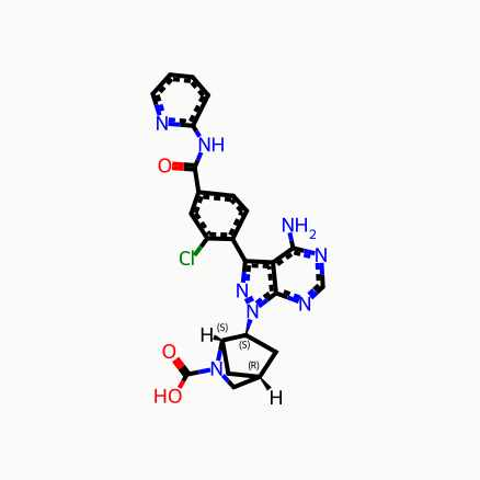 Nc1ncnc2c1c(-c1ccc(C(=O)Nc3ccccn3)cc1Cl)nn2[C@H]1C[C@H]2C[C@@H]1N(C(=O)O)C2